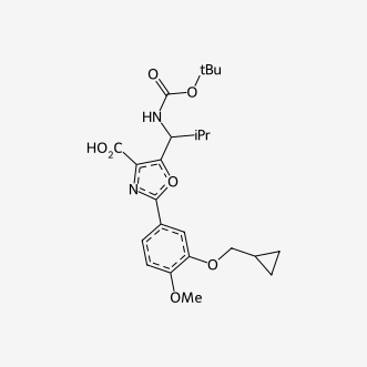 COc1ccc(-c2nc(C(=O)O)c(C(NC(=O)OC(C)(C)C)C(C)C)o2)cc1OCC1CC1